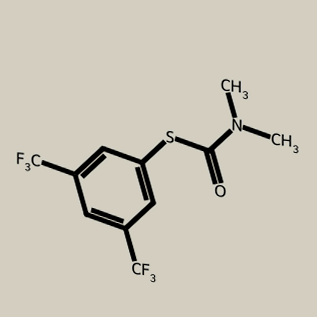 CN(C)C(=O)Sc1cc(C(F)(F)F)cc(C(F)(F)F)c1